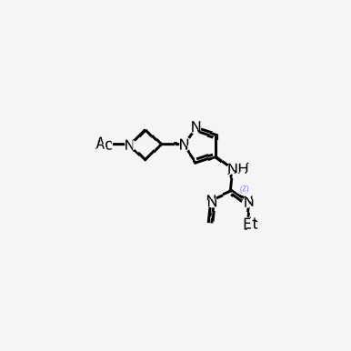 C=N/C(=N\CC)Nc1cnn(C2CN(C(C)=O)C2)c1